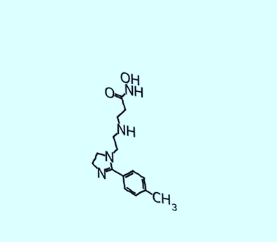 Cc1ccc(C2=NCCN2CCNCCC(=O)NO)cc1